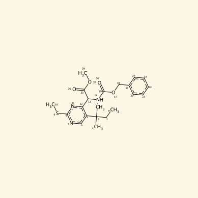 CCC(C)(C)c1cnc(SC)nc1C(NC(=O)OCc1ccccc1)C(=O)OC